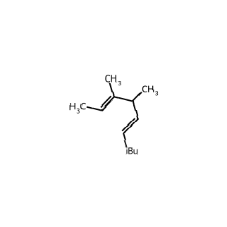 CC=C(C)C(C)C=CC(C)CC